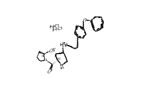 Cl.Cl.N#C[C@@H]1CCCN1C(=O)[C@@H]1CC(NCc2ccc(Oc3ccccc3)cc2)CN1